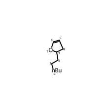 CCCCCCC1CC=CO1